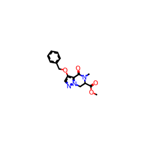 COC(=O)C1Cn2ncc(OCc3ccccc3)c2C(=O)N1C